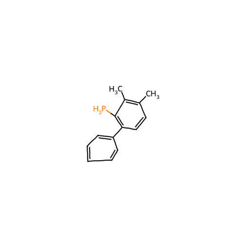 Cc1ccc(-c2ccccc2)c(P)c1C